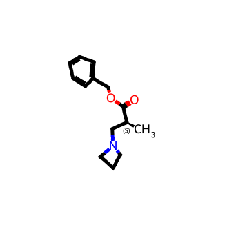 C[C@@H](CN1CCC1)C(=O)OCc1ccccc1